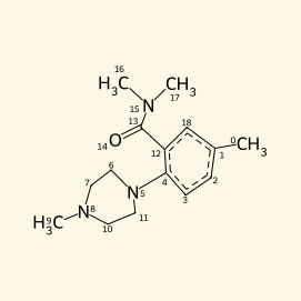 Cc1ccc(N2CCN(C)CC2)c(C(=O)N(C)C)c1